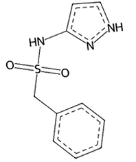 O=S(=O)(Cc1ccccc1)Nc1cc[nH]n1